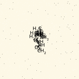 C=C.C=C.C=C.C=CC(=O)NCNC(=O)C=C.CCCCCN